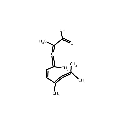 CC(C)=C=C(C)/C=C\C(C)=C=C(C)C(=O)O